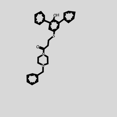 O=C(CCSc1cc(-c2ccccc2)c(O)c(-c2ccccc2)c1)N1CCN(Cc2ccccc2)CC1